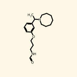 CC(c1cccc(OCCCNC=O)c1)N1CCCCCCC1